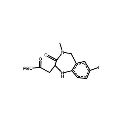 COC(=O)CC1Nc2ccc(I)cc2CN(C)C1=O